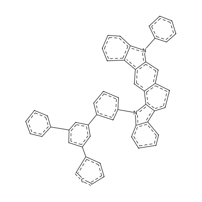 c1ccc(-c2cc(-c3ccccc3)cc(-c3cccc(-n4c5ccccc5c5ccc6cc7c(cc6c54)c4ccccc4n7-c4ccccc4)c3)c2)cc1